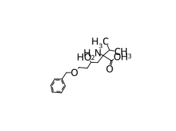 CC(C)C(N)(CC(O)CCOCc1ccccc1)C(=O)O